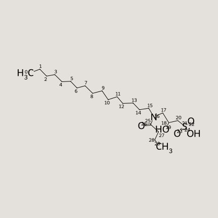 CCCCCCCCCCCCCCCCN(CC(O)CS(=O)(=O)O)C(=O)CCC